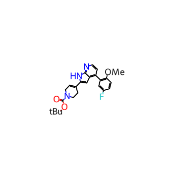 COc1ccc(F)cc1-c1ccnc2[nH]c(C3=CCN(C(=O)OC(C)(C)C)CC3)cc12